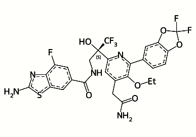 CCOc1c(CC(N)=O)cc([C@@](O)(CNC(=O)c2cc(F)c3nc(N)sc3c2)C(F)(F)F)nc1-c1ccc2c(c1)OC(F)(F)O2